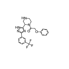 O=C(COc1ccccc1)N1CCNCC1c1nc(-c2cccc(C(F)(F)F)c2)n[nH]1